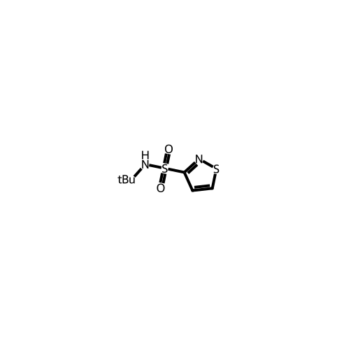 CC(C)(C)NS(=O)(=O)c1ccsn1